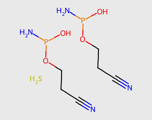 N#CCCOP(N)O.N#CCCOP(N)O.S